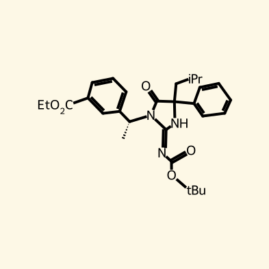 CCOC(=O)c1cccc([C@@H](C)N2C(=O)C(CC(C)C)(c3ccccc3)N/C2=N\C(=O)OC(C)(C)C)c1